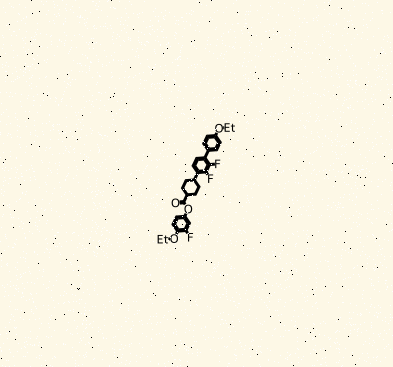 CCOc1ccc(-c2ccc(C3CCC(C(=O)Oc4ccc(OCC)c(F)c4)CC3)c(F)c2F)cc1